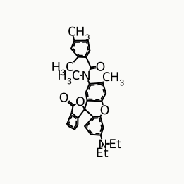 CCN(CC)c1ccc2c(c1)Oc1cc(C)c(N(C)C(=O)c3ccc(C)cc3C)cc1C21OC(=O)c2ccccc21